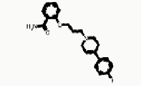 NC(=O)c1ccccc1OCCCN1CC=C(c2ccc(F)cc2)CC1